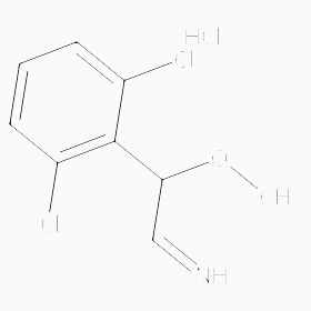 COC(C=N)c1c(Cl)cccc1Cl.Cl